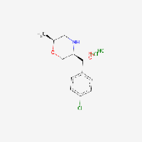 C[C@H]1CN[C@@H](Cc2ccc(Cl)cc2)CO1.Cl.Cl.O